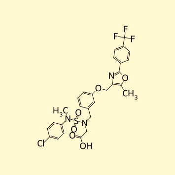 Cc1oc(-c2ccc(C(F)(F)F)cc2)nc1COc1cccc(CN(CC(=O)O)S(=O)(=O)N(C)c2ccc(Cl)cc2)c1